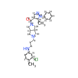 Cc1ccc(NCCCN2CC3CN(C(=O)c4cnn(-c5ccccc5)c4C)CC3C2)cc1Cl